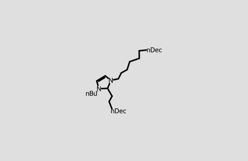 CCCCCCCCCCCCCCCCN1C=CN(CCCC)C1CCCCCCCCCCCC